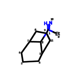 CCNC1C2CCCC1CC(N)C2